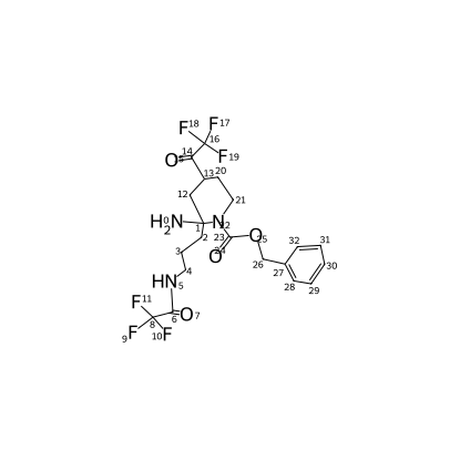 NC1(CCCNC(=O)C(F)(F)F)CC(C(=O)C(F)(F)F)CCN1C(=O)OCc1ccccc1